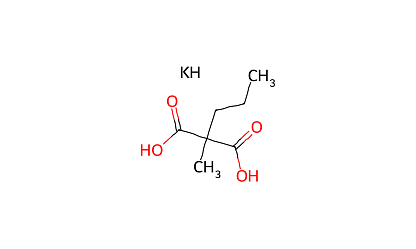 CCCC(C)(C(=O)O)C(=O)O.[KH]